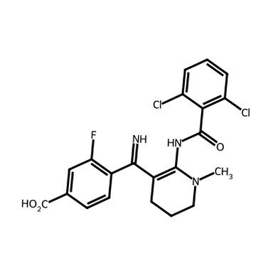 CN1CCCC(C(=N)c2ccc(C(=O)O)cc2F)=C1NC(=O)c1c(Cl)cccc1Cl